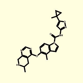 Cc1c(Oc2ncnc3c2CC(C)NC3)ccc2c1ccn2C(=O)Nc1cc(C2(C)CC2)on1